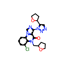 O=c1c2c(-n3nncc3C3CCCO3)ncn2c2cccc(Cl)c2n1CC1CCCO1